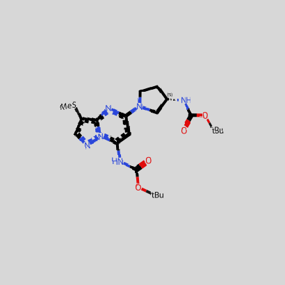 CSc1cnn2c(NC(=O)OC(C)(C)C)cc(N3CC[C@H](NC(=O)OC(C)(C)C)C3)nc12